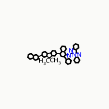 CC1(C)c2cc(-c3ccc4ccccc4c3)ccc2-c2ccc(-c3cc4c5ccccc5n(-c5nc6ccccc6c6nc7ccccc7n56)c4c4ccccc34)cc21